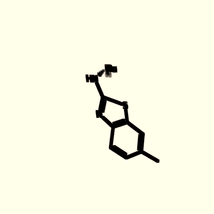 CC[C@@H](C)Nc1nc2ccc(C)cc2s1